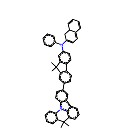 CC1(C)c2cc(-c3ccc4c(c3)c3cccc5c3n4-c3ccccc3C5(C)C)ccc2-c2ccc(N(C3=CC=C4C=CC=CC4C3)c3ccccc3)cc21